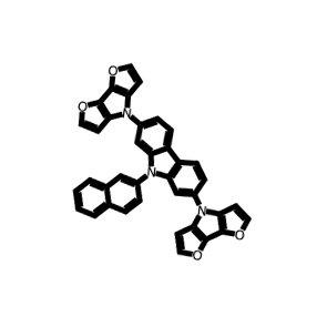 c1ccc2cc(-n3c4cc(-n5c6ccoc6c6occc65)ccc4c4ccc(-n5c6ccoc6c6occc65)cc43)ccc2c1